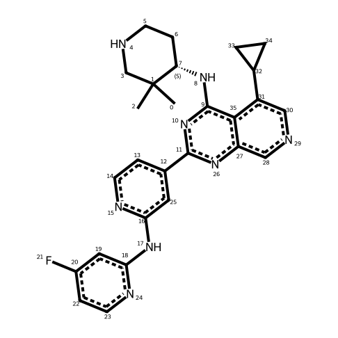 CC1(C)CNCC[C@@H]1Nc1nc(-c2ccnc(Nc3cc(F)ccn3)c2)nc2cncc(C3CC3)c12